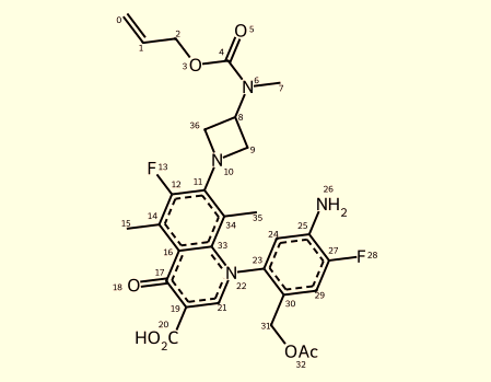 C=CCOC(=O)N(C)C1CN(c2c(F)c(C)c3c(=O)c(C(=O)O)cn(-c4cc(N)c(F)cc4COC(C)=O)c3c2C)C1